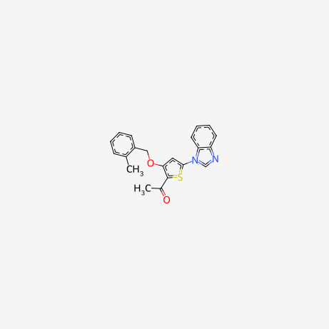 CC(=O)c1sc(-n2cnc3ccccc32)cc1OCc1ccccc1C